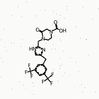 O=C(O)N1CCN(Cc2nc(Cc3cc(C(F)(F)F)cc(C(F)(F)F)c3)c[nH]2)C(=O)C1